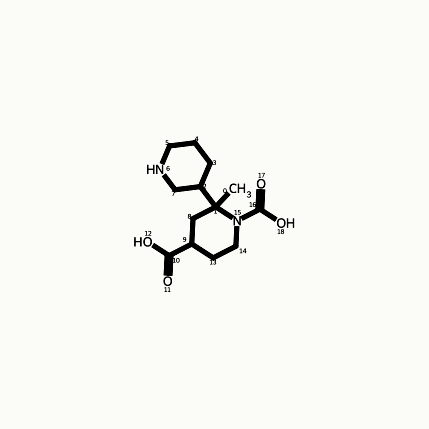 CC1(C2CCCNC2)CC(C(=O)O)CCN1C(=O)O